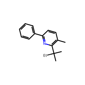 CCC(C)(C)c1nc(-c2ccccc2)ccc1C